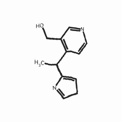 CC(C1=CCC=N1)c1ccncc1CO